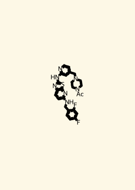 CC(=O)N1CCN(Cc2ccnc(Nc3nc4ccc(NCc5ccc(F)cc5F)nc4s3)c2)CC1